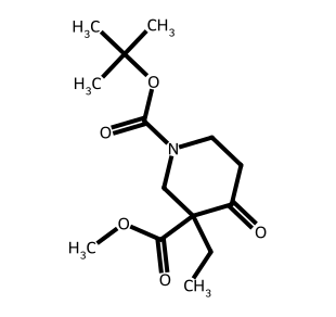 CCC1(C(=O)OC)CN(C(=O)OC(C)(C)C)CCC1=O